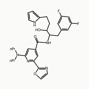 CCCN(CCC)c1cc(C(=O)NC(Cc2cc(F)cc(F)c2)C(O)CCc2ccc[nH]2)cc(-c2ncco2)n1